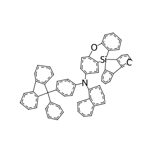 c1ccc(C2(c3ccc(N(c4ccc5c(c4)[Si]4(c6ccccc6O5)c5ccccc5-c5ccccc54)c4cccc5ccccc45)cc3)c3ccccc3-c3ccccc32)cc1